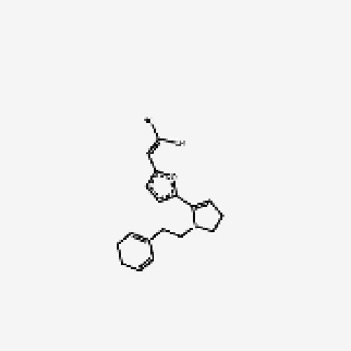 N#CC(C#N)=Cc1ccc(C2=CCCN2CCC2=CCCC=C2)o1